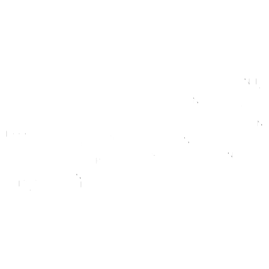 Nc1ncnc2c1ncn2C[C@H]1COP(=O)(NC(CC(=O)O)C(=O)O)CO1